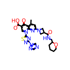 Cc1cc(N2CC(C(=O)NCC3CCCCO3)C2)nc2c1c(=O)c(C(=O)O)cn2-c1nc(-n2cncn2)ns1